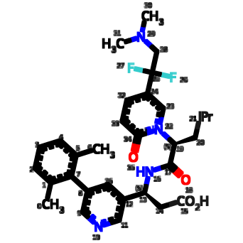 Cc1cccc(C)c1-c1cncc([C@H](CC(=O)O)NC(=O)[C@H](CC(C)C)n2cc(C(F)(F)CN(C)C)ccc2=O)c1